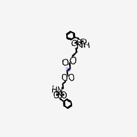 O=C(/C=C/C(=O)OCCCNS(=O)(=O)Cc1ccccc1)OCCCNS(=O)(=O)Cc1ccccc1